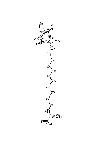 C=C(C)C(=O)OCCCCCCCCCCSc1ncc(F)c(=O)n1C